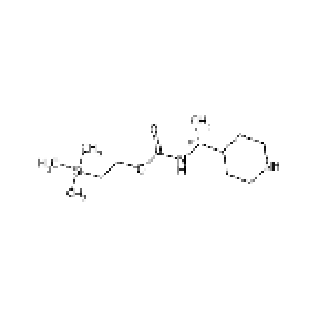 C[C@@H](NC(=O)OCC[Si](C)(C)C)C1CCNCC1